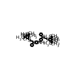 CC(C)(C)c1cc(SCCCN(c2ccccc2)c2ccc(Nc3ccc(N(CCCSc4cc(C(C)(C)C)c(O)c(C(C)(C)C)c4)c4ccccc4)cc3)cc2)cc(C(C)(C)C)c1O